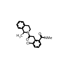 CNC(=O)c1cccc(Cl)c1CC(=O)N1CCc2ccccc2C1C